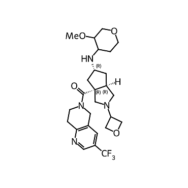 COC1COCCC1N[C@@H]1C[C@H]2CN(C3COC3)C[C@@]2(C(=O)N2CCc3ncc(C(F)(F)F)cc3C2)C1